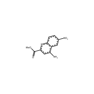 COC(=O)c1cc(N)c2cc([N+](=O)[O-])ccc2n1